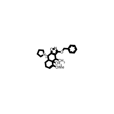 COC1=CCCC2[C@H](N3CCCC3)c3onc(OCc4ccccc4)c3C(C)C12C